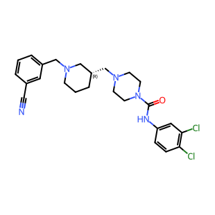 N#Cc1cccc(CN2CCC[C@@H](CN3CCN(C(=O)Nc4ccc(Cl)c(Cl)c4)CC3)C2)c1